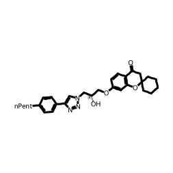 CCCCCc1ccc(-c2cn(C[C@@H](O)COc3ccc4c(c3)OC3(CCCCC3)CC4=O)nn2)cc1